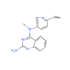 COc1ccc(N(C)c2nc(N)nc3ccccc23)cn1